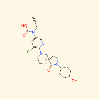 C#CCN(C(=O)O)c1cnc(N2CCC[C@@]3(CCN(C4CCC(O)CC4)C3=O)C2)c(Cl)c1